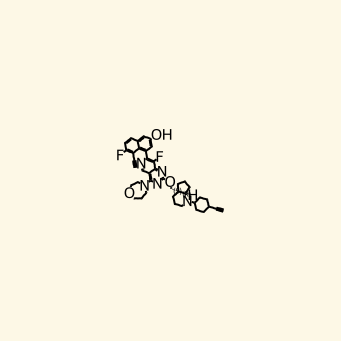 C#Cc1c(F)ccc2cc(O)cc(-c3ncc4c(N5CCCOCC5)nc(OC[C@]56CCC[C@H]5N(C5CCC(C#C)CC5)CCC6)nc4c3F)c12